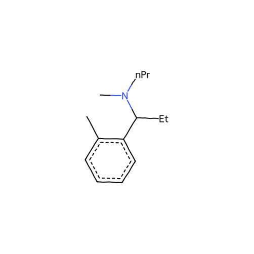 CCCN(C)C(CC)c1ccccc1C